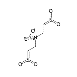 CCCl.O=S(=O)=CCNCC=S(=O)=O